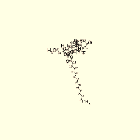 CCCCCCCCCCCCCCCC(=O)OCC(=O)[C@@]12OC(CCC)O[C@@H]1C[C@H]1[C@@H]3C[C@H](F)C4=CC(=O)CC[C@]4(C)[C@@]3(F)[C@@H](O)C[C@@]12C